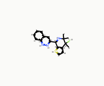 CC1(C)N=C(c2cc3ccccc3nn2)c2sccc2C1(C)F